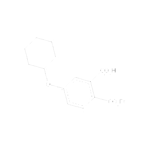 CCOC(=O)c1ccc(OC2CCCCC2)cc1C(=O)O